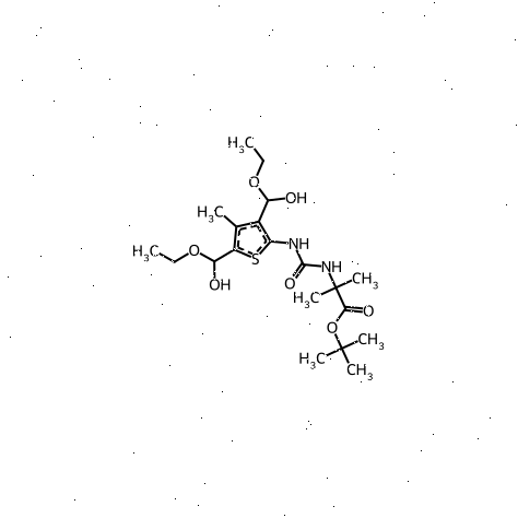 CCOC(O)c1sc(NC(=O)NC(C)(C)C(=O)OC(C)(C)C)c(C(O)OCC)c1C